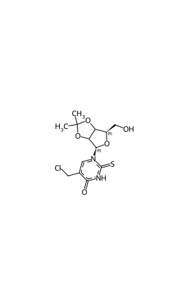 CC1(C)OC2C(O1)[C@@H](CO)O[C@H]2n1cc(CCl)c(=O)[nH]c1=S